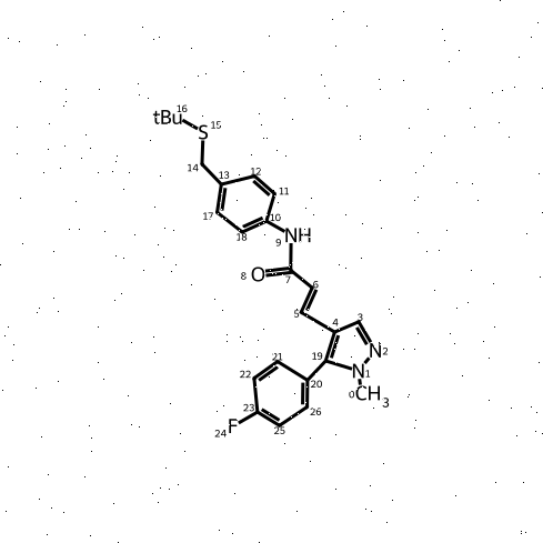 Cn1ncc(C=CC(=O)Nc2ccc(CSC(C)(C)C)cc2)c1-c1ccc(F)cc1